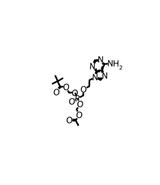 CC(=O)OCOP(=O)(COCCn1cnc2c(N)ncnc21)OCOC(=O)C(C)(C)C